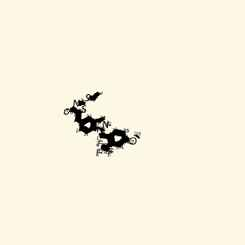 CCSC1=NC(=O)C(=Cc2ccc3c(cnn3Cc3ccc(OC)cc3C(F)(F)F)c2)S1